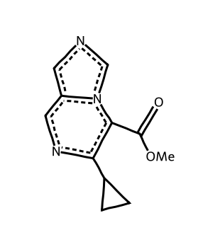 COC(=O)c1c(C2CC2)ncc2cncn12